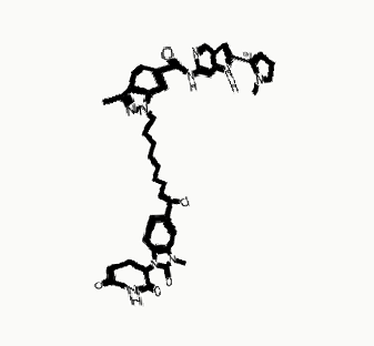 Cc1nn(CCCCCCCC=C(Cl)c2ccc3c(c2)n(C)c(=O)n3C2CCC(=O)NC2=O)c2cc(C(=O)Nc3cc4[nH]c([C@H]5CCCN5C)cc4cn3)ccc12